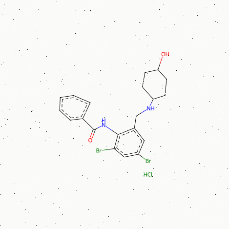 Cl.O=C(Nc1c(Br)cc(Br)cc1CNC1CCC(O)CC1)c1ccccc1